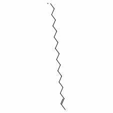 [CH2]CCCCCCCCCCCCCCCCC=CC